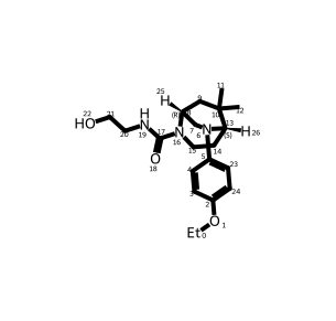 CCOc1ccc(N2C[C@H]3CC(C)(C)[C@@H]2CCN3C(=O)NCCO)cc1